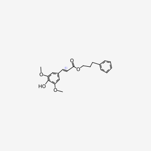 COc1cc(/C=C/C(=O)OCCCc2ccccc2)cc(OC)c1O